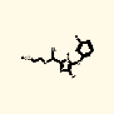 CCC(OCCOC(C)=O)c1nc(C(C)C)c(Sc2cccc(F)c2)[nH]1